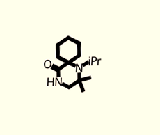 CC(C)N1C(C)(C)CNC(=O)C12CCCCC2